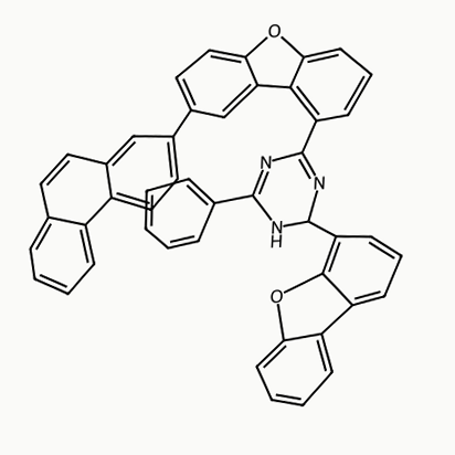 c1ccc(C2=NC(c3cccc4oc5ccc(-c6ccc7c(ccc8ccccc87)c6)cc5c34)=NC(c3cccc4c3oc3ccccc34)N2)cc1